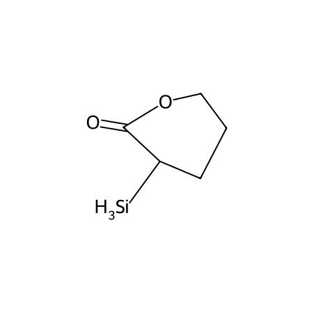 O=C1OCCCC1[SiH3]